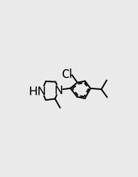 CC(C)c1ccc(N2CCNCC2C)c(Cl)c1